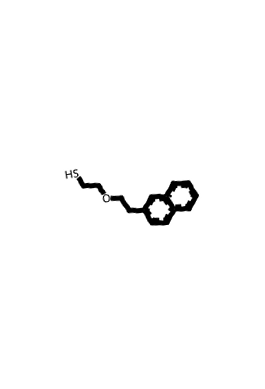 SCCOCCc1ccc2ccccc2c1